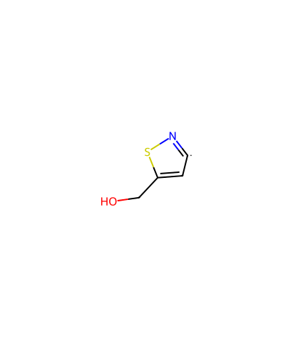 OCc1c[c]ns1